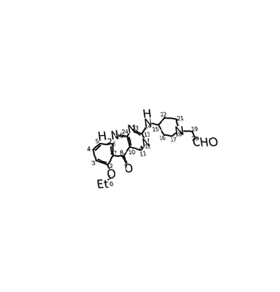 CCOc1ccccc1C(=O)c1cnc(NC2CCN(CC=O)CC2)nc1N